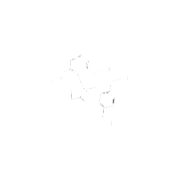 COc1ccc(OC)c(CN2C(=O)CSC2c2c(OC)cccc2OC)c1